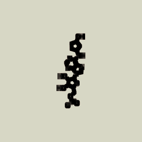 O=[N+]([O-])OCC1OC(n2cnc3c(NC4CCC(O)C4)ncnc32)C(O)C1O